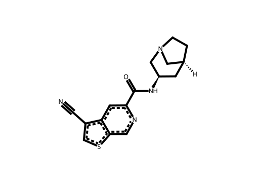 N#Cc1csc2cnc(C(=O)N[C@@H]3C[C@@H]4CCN(C4)C3)cc12